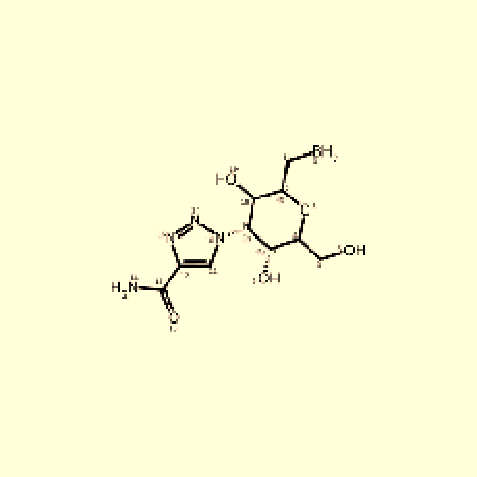 BC[C@H]1OC(CO)[C@H](O)[C@H](n2cc(C(N)=O)nn2)C1O